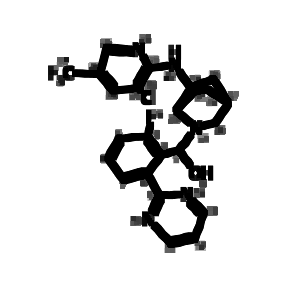 OC(c1c(F)cccc1-c1ncccn1)N1CC2CCC1C(Nc1ncc(C(F)(F)F)cc1Cl)C2